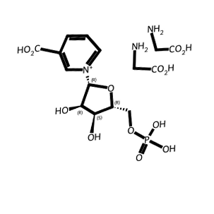 NCC(=O)O.NCC(=O)O.O=C(O)c1ccc[n+]([C@@H]2O[C@H](COP(=O)(O)O)[C@@H](O)[C@H]2O)c1